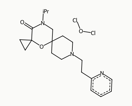 CC(C)N1CC2(CCN(CCc3ccccn3)CC2)OC2(CC2)C1=O.ClOCl